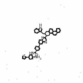 Nc1ccc(-c2cccs2)cc1NC(=O)c1ccc(-c2ccc3nc(C4Cc5c(ccc6c5ccc5ccccc56)CC4Cc4c[nH]c5ccccc45)cnc3c2)cc1